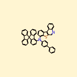 c1ccc(-c2ccc(N(c3cccc4c3-c3ccccc3C43c4ccccc4-c4ccccc43)c3cccc4c3sc3cnc5ccccc5c34)cc2)cc1